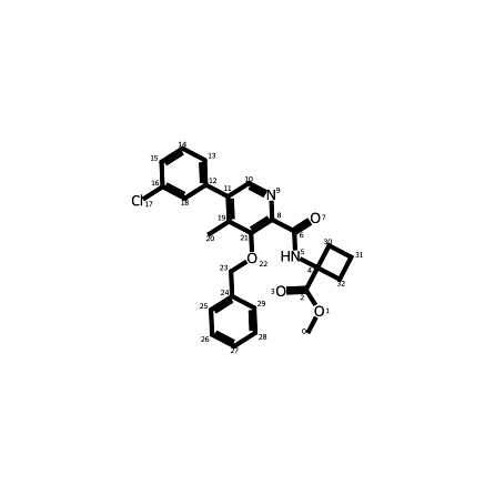 COC(=O)C1(NC(=O)c2ncc(-c3cccc(Cl)c3)c(C)c2OCc2ccccc2)CCC1